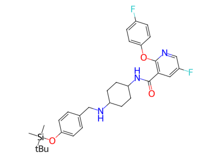 CC(C)(C)[Si](C)(C)Oc1ccc(CNC2CCC(NC(=O)c3cc(F)cnc3Oc3ccc(F)cc3)CC2)cc1